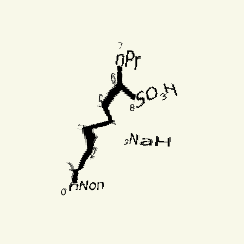 CCCCCCCCCCCCCCC(CCC)S(=O)(=O)O.[NaH]